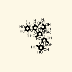 CC(=O)NC1[C@H](O[C@@H]2C(O)[C@H](O[C@@H]3C(CO)C[C@@H](O)C(O)[C@H]3O)OC(CO)[C@@H]2O)OC(CO)[C@@H](O[C@@H]2O[C@@H](CO)[C@H](O)C(O)C2O[C@@H]2C[C@@H](C)[C@@H](O)C(O)C2O)[C@@H]1O[C@@H]1OC(C)[C@@H](O)[C@H](O)C1O